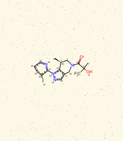 C[C@H]1CN(C(=O)C(C)(O)C(F)(F)F)Cc2cnn(-c3ncccc3F)c21